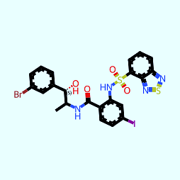 CC(NC(=O)c1ccc(I)cc1NS(=O)(=O)c1cccc2nsnc12)[C@@H](O)c1cccc(Br)c1